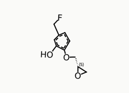 Oc1cc(CF)ccc1OC[C@@H]1CO1